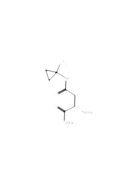 CN[C@@H](CC(=O)NC1(C(F)(F)F)CC1)C(=O)OC